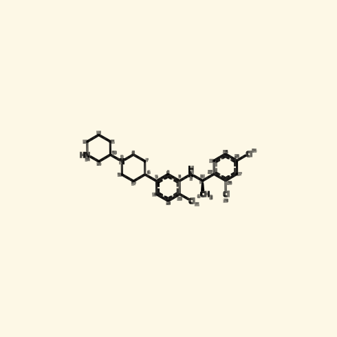 C[C@@H](Nc1cc(C2CCN(C3CCCNC3)CC2)ccc1Cl)c1ccc(Cl)cc1Cl